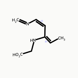 C=N/C=C\C(=C/C)NCC(=O)O